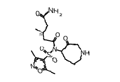 Cc1noc(C)c1S(=O)(=O)N(C(=O)C[C@@H](C)CC(N)=O)C1CCCNCC1=O